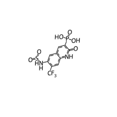 O=c1[nH]c2cc(C(F)(F)F)c(N[SH](=O)=O)cc2cc1P(=O)(O)O